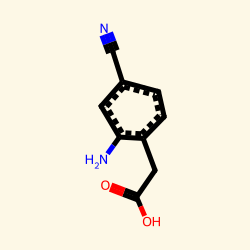 N#Cc1ccc(CC(=O)O)c(N)c1